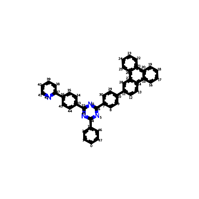 c1ccc(-c2nc(-c3ccc(-c4ccc5c6ccccc6c6ccccc6c5c4)cc3)nc(-c3ccc(-c4ccccn4)cc3)n2)cc1